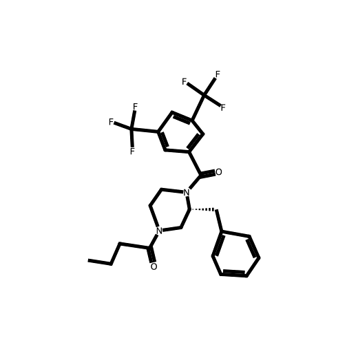 CCCC(=O)N1CCN(C(=O)c2cc(C(F)(F)F)cc(C(F)(F)F)c2)[C@H](Cc2ccccc2)C1